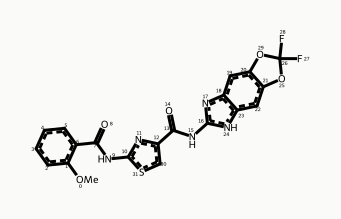 COc1ccccc1C(=O)Nc1nc(C(=O)Nc2nc3cc4c(cc3[nH]2)OC(F)(F)O4)cs1